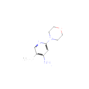 COc1cnc(N2CCOCC2)cc1N